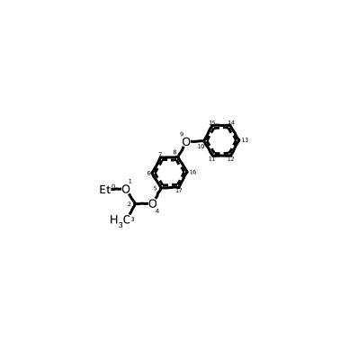 CCOC(C)Oc1ccc(Oc2ccccc2)cc1